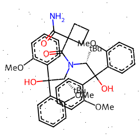 COc1ccccc1C(O)(c1ccccc1OC)[C@H](N(C(=O)C1(C(N)=O)CCC1)[C@H](C(C)(C)C)C(O)(c1ccccc1OC)c1ccccc1OC)C(C)(C)C